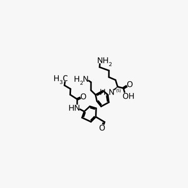 CCCCC(=O)Nc1ccc(C=O)cc1.NCCCC[C@H](N)C(=O)O.NCCc1ccccc1